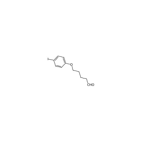 O=CCCCCOc1ccc(I)cc1